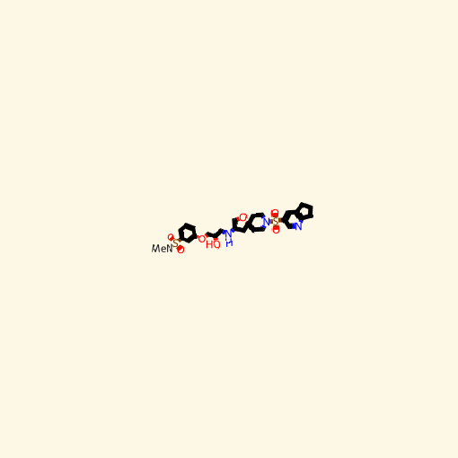 CNS(=O)(=O)c1cccc(OCC(O)CNC2COC3(CCN(S(=O)(=O)c4cnc5c(c4)CCC5)CC3)C2)c1